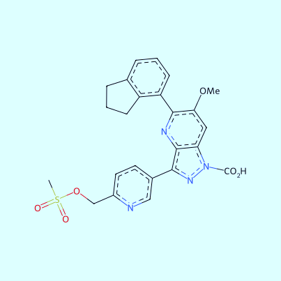 COc1cc2c(nc1-c1cccc3c1CCC3)c(-c1ccc(COS(C)(=O)=O)nc1)nn2C(=O)O